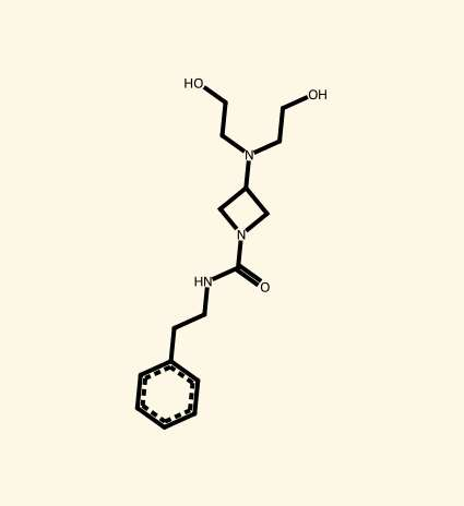 O=C(NCCc1ccccc1)N1CC(N(CCO)CCO)C1